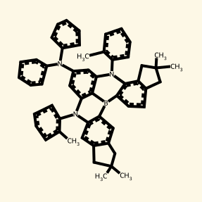 Cc1ccccc1N1c2cc3c(cc2B2c4ccc5c(c4N(c4ccccc4C)c4cc(N(c6ccccc6)c6ccccc6)cc1c42)CC(C)(C)C5)CC(C)(C)C3